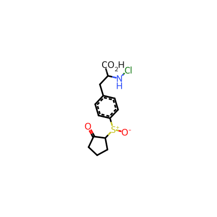 O=C(O)C(Cc1ccc([S+]([O-])C2CCCC2=O)cc1)NCl